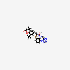 CC(=O)Oc1c(C(C)(C)C)cc(/C=C2\Sc3ccccc3N(Cc3nnn[nH]3)C2=O)cc1C(C)(C)C